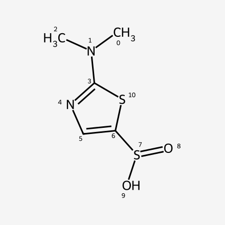 CN(C)c1ncc(S(=O)O)s1